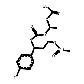 CC(OC(=O)NC(CCO[PH](C)=O)c1ccc(Cl)cc1)OC(=O)C(C)(C)C